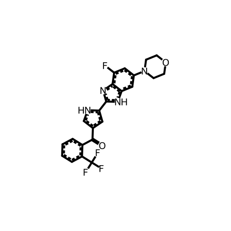 O=C(c1c[nH]c(-c2nc3c(F)cc(N4CCOCC4)cc3[nH]2)c1)c1ccccc1C(F)(F)F